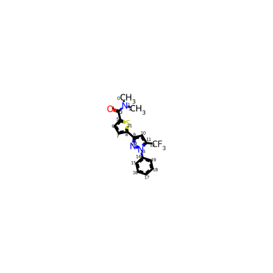 CN(C)C(=O)c1ccc(-c2cc(C(F)(F)F)n(-c3ccccc3)n2)s1